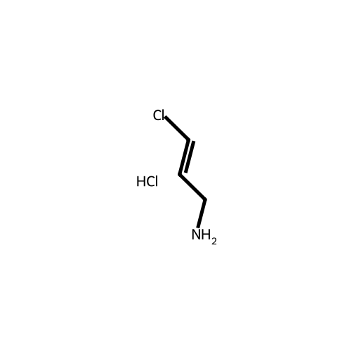 Cl.NCC=CCl